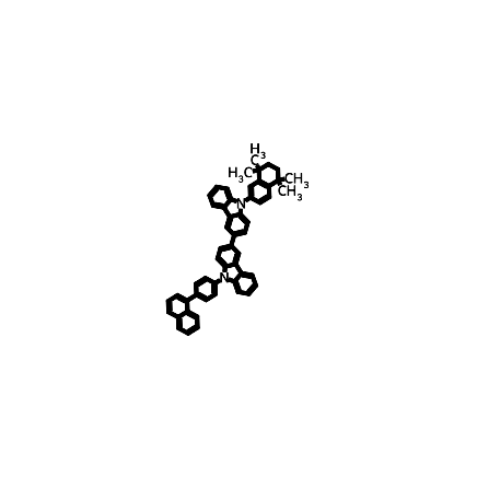 CC1(C)CCC(C)(C)c2cc(-n3c4ccccc4c4cc(-c5ccc6c(c5)c5ccccc5n6-c5ccc(-c6cccc7ccccc67)cc5)ccc43)ccc21